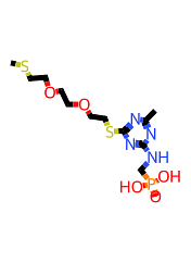 CSCCOCCOCCSc1nc(C)nc(NCP(=O)(O)O)n1